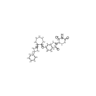 O=C1CCC(N2Cc3cc(O[C@@H]4CCCCC[C@@H]4N4CC(c5ccccc5)C4)ccc3C2=O)C(=O)N1